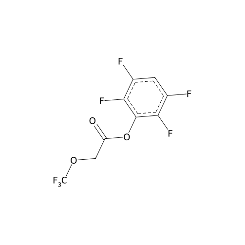 O=C(COC(F)(F)F)Oc1c(F)c(F)cc(F)c1F